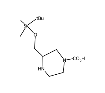 CC(C)(C)[Si](C)(C)OCC1CN(C(=O)O)CCN1